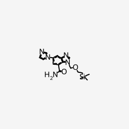 C[Si](C)(C)CCOCn1cnc2cc(-n3ccnc3)cc(C(N)=O)c21